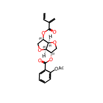 C=CC(=C)C(=O)O[C@@H]1CO[C@H]2[C@@H]1OC[C@@H]2OC(=O)c1ccccc1OC(C)=O